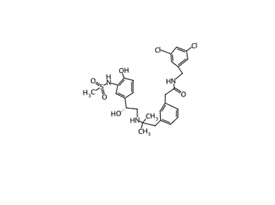 CC(C)(Cc1cccc(CC(=O)NCc2cc(Cl)cc(Cl)c2)c1)NC[C@H](O)c1ccc(O)c(NS(C)(=O)=O)c1